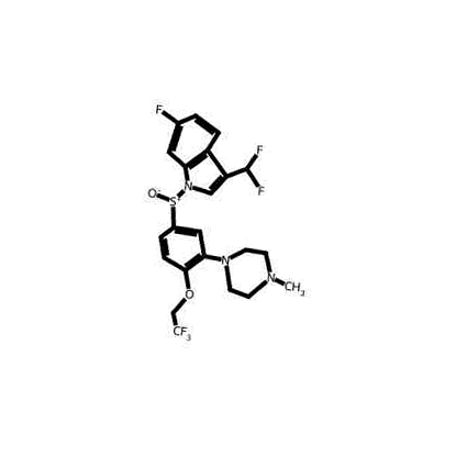 CN1CCN(c2cc([S+]([O-])n3cc(C(F)F)c4ccc(F)cc43)ccc2OCC(F)(F)F)CC1